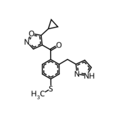 CSc1ccc(C(=O)c2cnoc2C2CC2)c(Cc2cc[nH]n2)c1